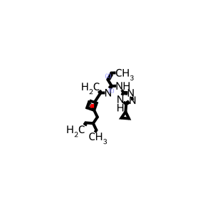 C=CC(CC)CC12CC(C1)N(C(=C)/N=C(\C=C/C)Nc1nnc(C3CC3)[nH]1)C2